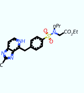 CCCN(CC(=O)OCC)S(=O)(=O)c1ccc(Cc2[nH]ccc3nc(C)nc2-3)cc1